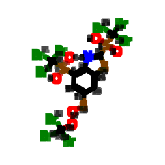 O=S(=O)(c1nc2c(S(=O)(=O)C(Br)(Br)Br)cc(SOOC(Br)(Br)Br)cc2s1)C(Br)(Br)Br